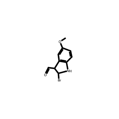 COc1ccc2c(c1)C(C=O)C(Br)N2